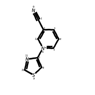 N#Cc1ccc[n+](-c2cscn2)c1